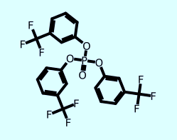 O=P(Oc1cccc(C(F)(F)F)c1)(Oc1cccc(C(F)(F)F)c1)Oc1cccc(C(F)(F)F)c1